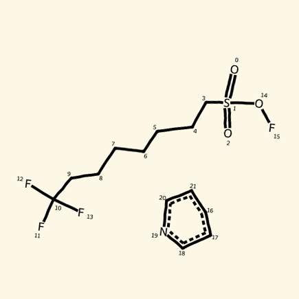 O=S(=O)(CCCCCCCC(F)(F)F)OF.c1ccncc1